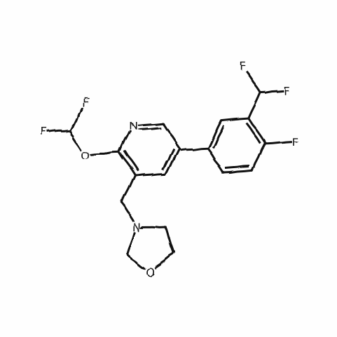 Fc1ccc(-c2cnc(OC(F)F)c(CN3CCOC3)c2)cc1C(F)F